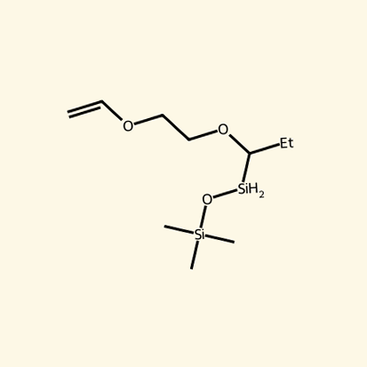 C=COCCOC(CC)[SiH2]O[Si](C)(C)C